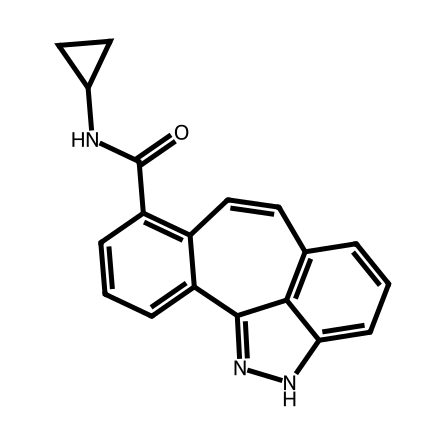 O=C(NC1CC1)c1cccc2c1C=Cc1cccc3[nH]nc-2c13